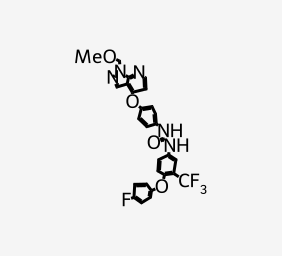 COCn1ncc2c(Oc3ccc(NC(=O)Nc4ccc(Oc5ccc(F)cc5)c(C(F)(F)F)c4)cc3)ccnc21